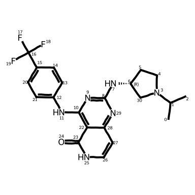 CC(C)N1CC[C@@H](Nc2nc(Nc3ccc(C(F)(F)F)cc3)c3c(=O)[nH]ccc3n2)C1